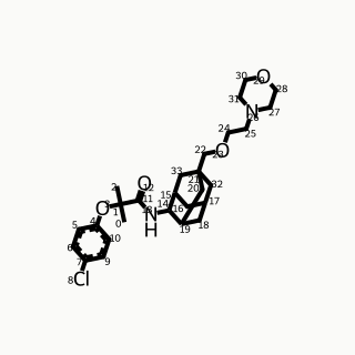 CC(C)(Oc1ccc(Cl)cc1)C(=O)NC1C2CC3CC1CC(COCCN1CCOCC1)(C3)C2